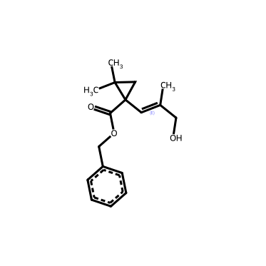 C/C(=C\C1(C(=O)OCc2ccccc2)CC1(C)C)CO